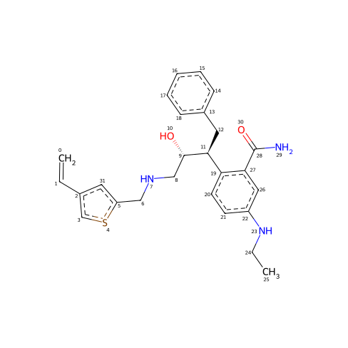 C=Cc1csc(CNC[C@H](O)[C@@H](Cc2ccccc2)c2ccc(NCC)cc2C(N)=O)c1